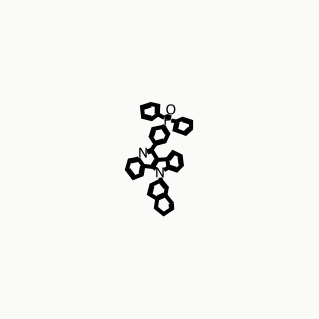 O=P(c1ccccc1)(c1ccccc1)c1ccc(-c2nc3ccccc3c3c2c2ccccc2n3-c2ccc3c(c2)C=CCC3)cc1